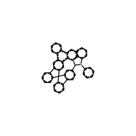 c1ccc(N2c3ccccc3SC2c2ccc3c(c2)C2(c4ccccc4-3)c3ccccc3-c3cc4c5ccccc5c5ccccc5c4cc32)cc1